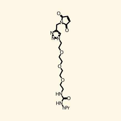 CCCNC(=O)NCCOCCOCCOCCn1cc(CN2C(=O)C=CC2=O)nn1